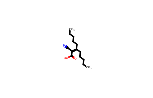 CCCCCC(CCCCC)=C(C#N)C(=O)O